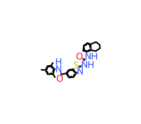 Cc1cc(C)c(NC(=O)c2ccc3nc(NC(=O)Nc4cccc5c4CCCC5)sc3c2)c(C)c1